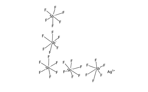 [Ag+5].[F][Sb-]([F])([F])([F])([F])[F].[F][Sb-]([F])([F])([F])([F])[F].[F][Sb-]([F])([F])([F])([F])[F].[F][Sb-]([F])([F])([F])([F])[F].[F][Sb-]([F])([F])([F])([F])[F]